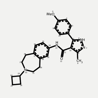 COc1ccc(-c2[nH]nc(C)c2C(=O)Nc2ccc3c(c2)CCN(C2CCC2)CC3)cc1